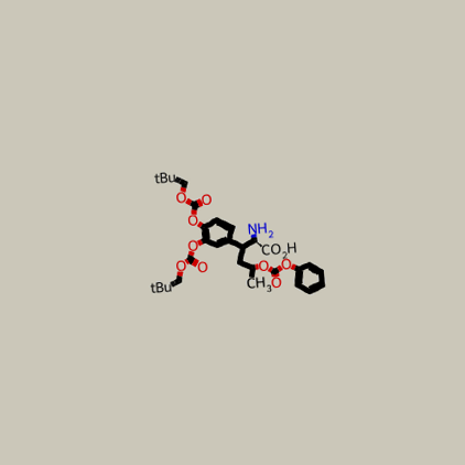 CC(CC(c1ccc(OC(=O)OCC(C)(C)C)c(OC(=O)OCC(C)(C)C)c1)[C@H](N)C(=O)O)OC(=O)Oc1ccccc1